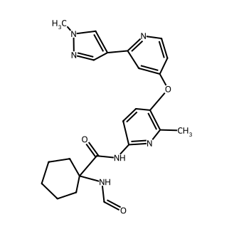 Cc1nc(NC(=O)C2(NC=O)CCCCC2)ccc1Oc1ccnc(-c2cnn(C)c2)c1